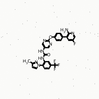 Cc1ccn(-c2ccc(C(F)(F)F)cc2NC(=O)Nc2cnc(Oc3ccc(-c4cc(F)cnc4N)cc3)nc2)n1